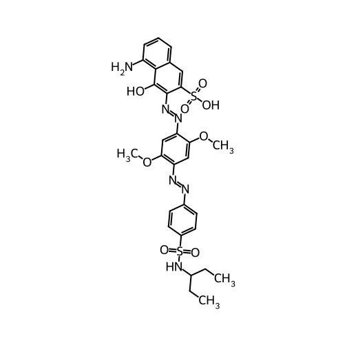 CCC(CC)NS(=O)(=O)c1ccc(/N=N/c2cc(OC)c(/N=N/c3c(S(=O)(=O)O)cc4cccc(N)c4c3O)cc2OC)cc1